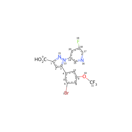 O=C(O)c1cc(-c2cc(Br)cc(OC(F)(F)F)c2)n(-c2cncc(F)c2)n1